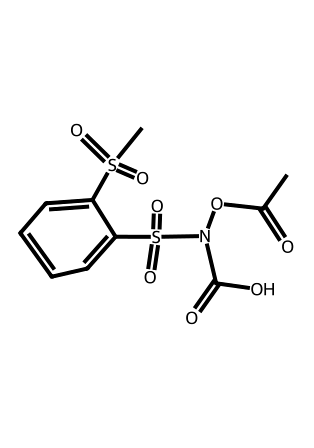 CC(=O)ON(C(=O)O)S(=O)(=O)c1ccccc1S(C)(=O)=O